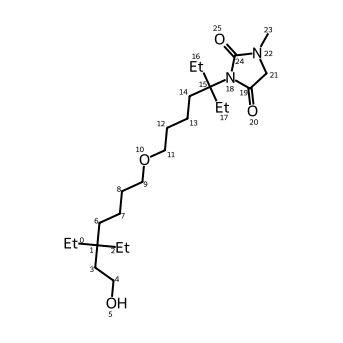 CCC(CC)(CCO)CCCCOCCCCC(CC)(CC)N1C(=O)CN(C)C1=O